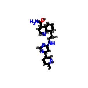 Cc1ccc(-c2cc(NC[C@@H](C)c3cccc4c(C(N)=O)ccnc34)ncn2)cn1